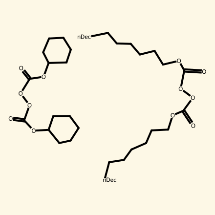 CCCCCCCCCCCCCCCCOC(=O)OOC(=O)OCCCCCCCCCCCCCCCC.O=C(OOC(=O)OC1CCCCC1)OC1CCCCC1